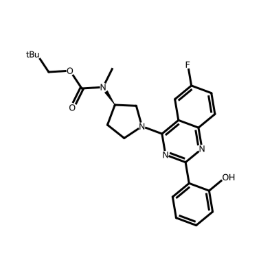 CN(C(=O)OCC(C)(C)C)[C@@H]1CCN(c2nc(-c3ccccc3O)nc3ccc(F)cc23)C1